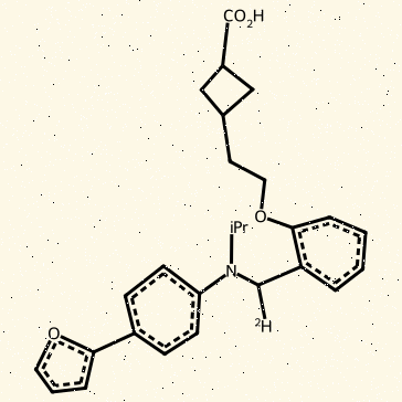 [2H]C(c1ccccc1OCCC1CC(C(=O)O)C1)N(c1ccc(-c2ccco2)cc1)C(C)C